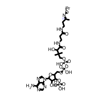 C/C(CCNC(=O)CCNC(=O)C(O)C(C)(C)COP(=O)(O)OP(=O)(O)OCC1OC(n2cnc3c(N)ncnc32)C(O)C1OP(=O)(O)O)=N\OC(C)C